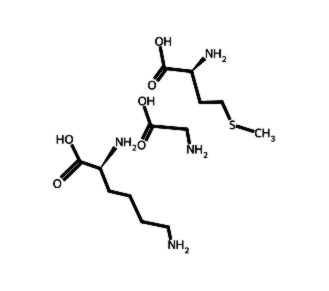 CSCC[C@H](N)C(=O)O.NCC(=O)O.NCCCC[C@H](N)C(=O)O